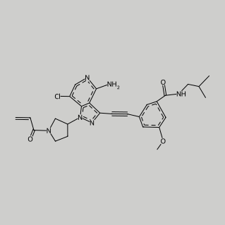 C=CC(=O)N1CCC(n2nc(C#Cc3cc(OC)cc(C(=O)NCC(C)C)c3)c3c(N)ncc(Cl)c32)C1